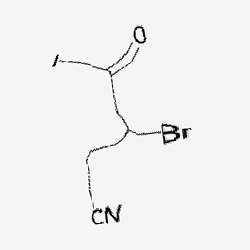 N#CCC(Br)C(=O)I